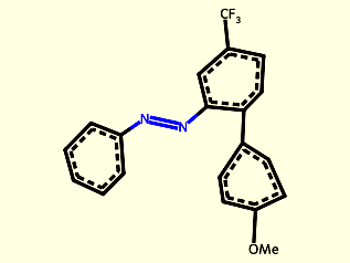 COc1ccc(-c2ccc(C(F)(F)F)cc2N=Nc2ccccc2)cc1